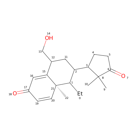 CCC1C(C2CCC(=O)C2(C)C)CC(CO)C2=CC(=O)C=C[C@@]21C